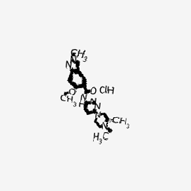 CCOc1cc2nn(C)cc2cc1C(=O)Nc1ccc(N2CCN(CC)[C@@H](C)C2)nn1.Cl